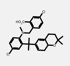 CN(Cc1ccc(Cl)cc1C(=O)O)c1ccc(Cl)cc1C(C)(C)C1=CCC2OC(C)(C)CCC2=C1